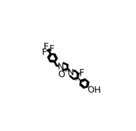 O=C1[C@H](N2CC[C@H](c3ccc(O)cc3)[C@@H](F)C2)CCN1Cc1ccc(C(F)(F)F)cc1